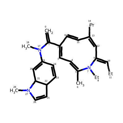 C=C(C1=C/C=C(\C)N(CC)C(=C\CC)/C=C(C(C)C)\C=C\1)N(C)C1=CC2C(C=C1)C=CN2C